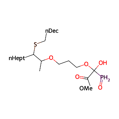 CCCCCCCCCCCSC(CCCCCCC)C(C)OCCCOC(O)([PH2]=O)C(=O)OC